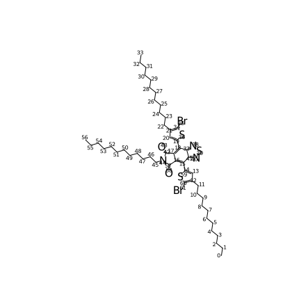 CCCCCCCCCCCCc1cc(-c2c3c(c(-c4cc(CCCCCCCCCCCC)c(Br)s4)c4nsnc24)C(=O)N(CCCCCCCCCCCC)C3=O)sc1Br